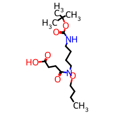 CCCCON(CCCCNC(=O)OC(C)(C)C)C(=O)CCC(=O)O